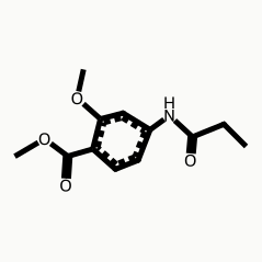 CCC(=O)Nc1ccc(C(=O)OC)c(OC)c1